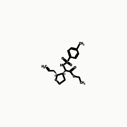 C=CC[C@H]1OCC[C@H]1C(NS(=O)(=O)c1ccc(C)cc1)C(=O)OCC